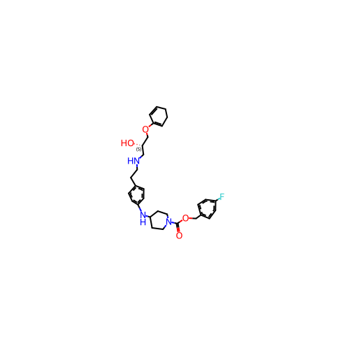 O=C(OCc1ccc(F)cc1)N1CCC(Nc2ccc(CCNC[C@H](O)COC3=CCCC=C3)cc2)CC1